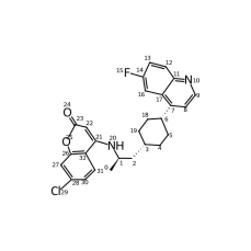 C[C@H](C[C@H]1CC[C@@H](c2ccnc3ccc(F)cc32)CC1)Nc1cc(=O)oc2cc(Cl)ccc12